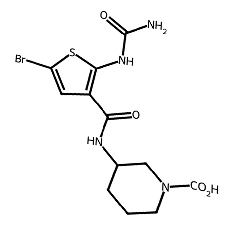 NC(=O)Nc1sc(Br)cc1C(=O)NC1CCCN(C(=O)O)C1